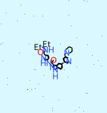 CCC(CC)NC(=O)c1ccc(NC(=O)c2n[nH]c3ccc(-c4cncc(CN5CCCCC5)c4)cc23)cn1